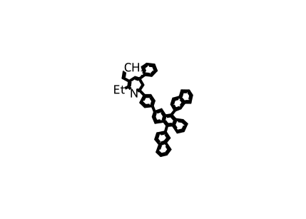 C/C=C\C1=C(CC)N=C(c2ccc(-c3ccc4c(-c5ccc6ccccc6c5)c5ccccc5c(-c5ccc6ccccc6c5)c4c3)cc2)CC(c2ccccc2)=C1